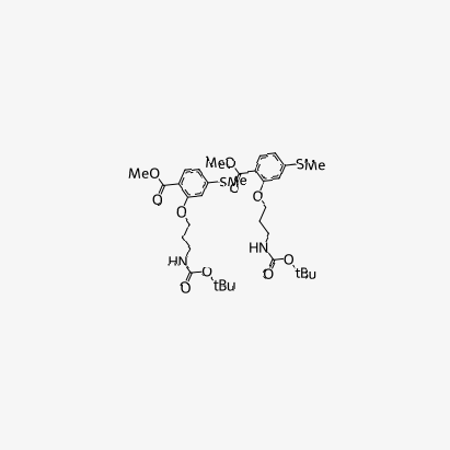 COC(=O)c1ccc(SC)cc1OCCCNC(=O)OC(C)(C)C.COC(=O)c1ccc(SC)cc1OCCCNC(=O)OC(C)(C)C